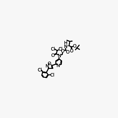 CC(C)[C@@H](NC(=O)OCN(C(=O)C(Cl)Cl)c1ccnc(-c2cc(-c3c(Cl)cccc3Cl)no2)c1)C(=O)OC(C)(C)C